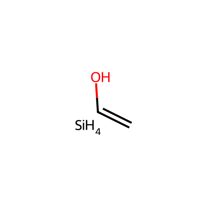 C=CO.[SiH4]